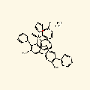 Cl.Cl.[CH2]=[Zr]([C]1=CC=CC1)([c]1ccccc1)([c]1cccc(Cl)c1)[c]1c2c(cc(C(C)(C)C)c1-c1ccccc1)-c1cc(C(C)(C)C)c(-c3ccccc3)cc1C2